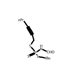 CCCC#CCSP(=S)(NC=O)SC(C)CC